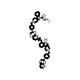 CC(C)(Cc1cccc2c1NCC21CCN(Cc2ccc([C@H]3COc4cccnc4O3)cc2)CC1)c1ccc2c(n1)O[C@@H](c1ccc(CN3CCC4(CC3)CN(C(N)=O)c3ccccc34)cc1)CO2